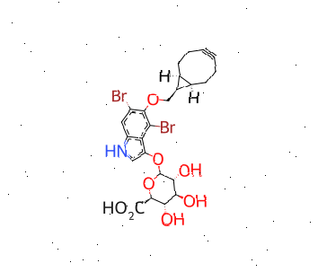 O=C(O)[C@H]1O[C@@H](Oc2c[nH]c3cc(Br)c(OC[C@@H]4[C@@H]5CCC#CCC[C@@H]54)c(Br)c23)[C@H](O)[C@@H](O)[C@@H]1O